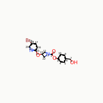 O=C(Oc1ccc(CO)cc1)N1CC(Oc2ccc(Br)cn2)C1